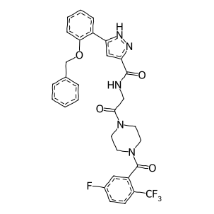 O=C(NCC(=O)N1CCN(C(=O)c2cc(F)ccc2C(F)(F)F)CC1)c1cc(-c2ccccc2OCc2ccccc2)[nH]n1